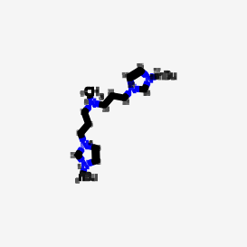 CCCCN1C=CN(CCCN(C)CCCN2C=CN(CCCC)C2)C1